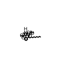 C=C(C=CC=C(CCCCCCCCC)c1ccccc1C1NC(=O)NC(C)=C1C(=O)OC)OC